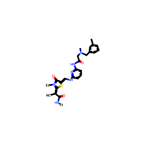 CCNC(=O)C(C#N)=c1sc(=CNc2cccc(NC(=O)CN(C)Cc3cccc(C)c3)n2)c(=O)n1CC